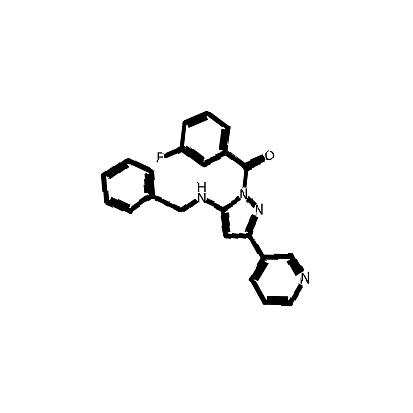 O=C(c1cccc(F)c1)n1nc(-c2cccnc2)cc1NCc1ccccc1